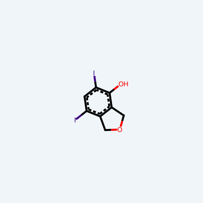 Oc1c(I)cc(I)c2c1COC2